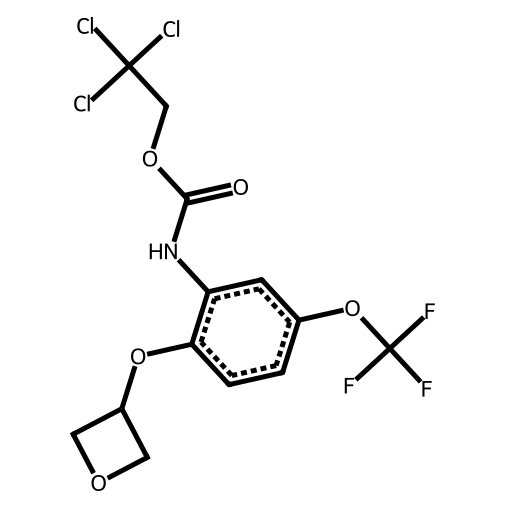 O=C(Nc1cc(OC(F)(F)F)ccc1OC1COC1)OCC(Cl)(Cl)Cl